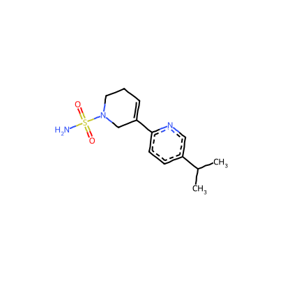 CC(C)c1ccc(C2=CCCN(S(N)(=O)=O)C2)nc1